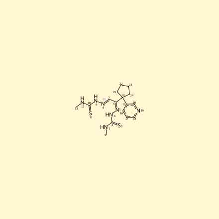 CNC(=S)NN=C(/C=N/NC(=S)NC)C1(c2cccnc2)CCCC1